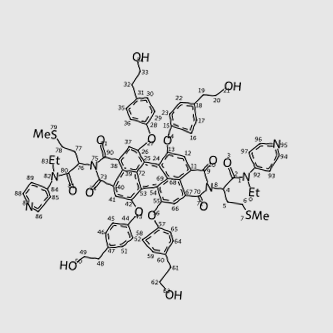 CCN(C(=O)C(CCSC)N1C(=O)c2cc(Oc3ccc(CCO)cc3)c3c4c(Oc5ccc(CCO)cc5)cc5c6c(cc(Oc7ccc(CCO)cc7)c(c7c(Oc8ccc(CCO)cc8)cc(c2c37)C1=O)c64)C(=O)N(C(CCSC)C(=O)N(CC)c1ccncc1)C5=O)c1ccncc1